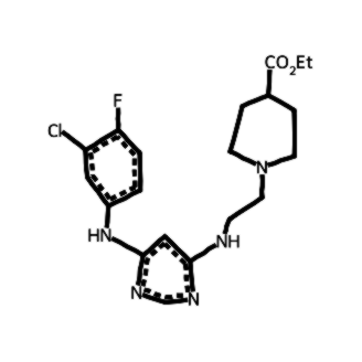 CCOC(=O)C1CCN(CCNc2cc(Nc3ccc(F)c(Cl)c3)ncn2)CC1